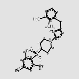 Cc1cccc(Cc2csc(N3CCC(S(=O)(=O)c4c(C(C)C)cc(C(C)C)cc4C(C)C)CC3)n2)c1C